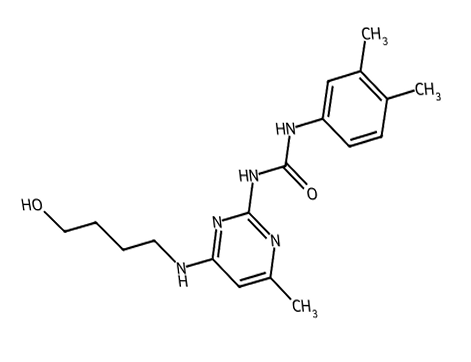 Cc1cc(NCCCCO)nc(NC(=O)Nc2ccc(C)c(C)c2)n1